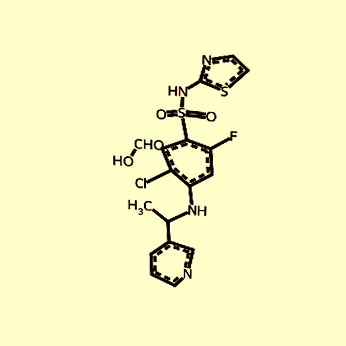 CC(Nc1cc(F)c(S(=O)(=O)Nc2nccs2)cc1Cl)c1cccnc1.O=CO